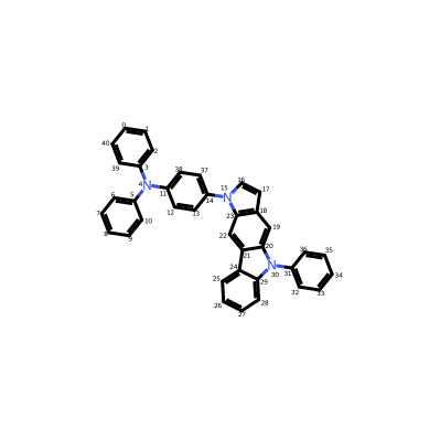 c1ccc(N(c2ccccc2)c2ccc(-n3ccc4cc5c(cc43)c3ccccc3n5-c3ccccc3)cc2)cc1